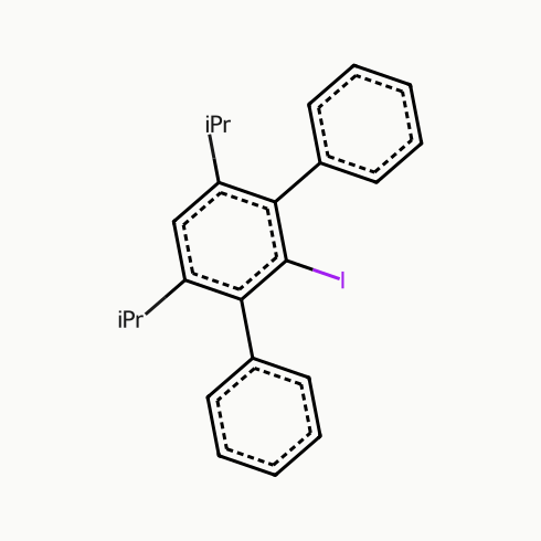 CC(C)c1cc(C(C)C)c(-c2ccccc2)c(I)c1-c1ccccc1